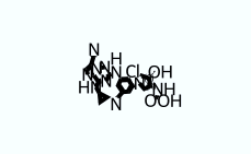 N#Cc1cc(Nc2nc(NC3CC3)c3ncc(C#N)n3n2)c(Cl)c(N2C[C@H](O)[C@H](NC(=O)O)C2)c1